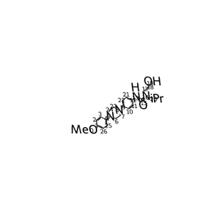 COc1ccc(N2CCN(c3ccc(NC(=O)N(CCO)C(C)C)cc3)CC2)cc1